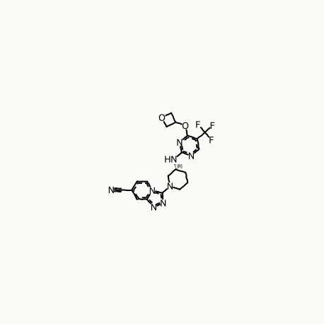 N#Cc1ccn2c(N3CCC[C@@H](Nc4ncc(C(F)(F)F)c(OC5COC5)n4)C3)nnc2c1